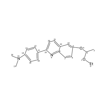 CCOC(C)Oc1ccc2nc(-c3ccc(N(C)C)cc3)ccc2c1